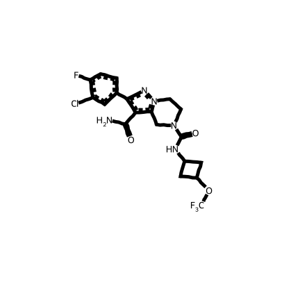 NC(=O)c1c(-c2ccc(F)c(Cl)c2)nn2c1CN(C(=O)NC1CC(OC(F)(F)F)C1)CC2